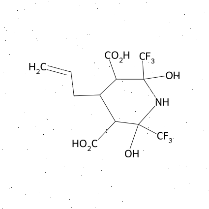 C=CCC1C(C(=O)O)C(O)(C(F)(F)F)NC(O)(C(F)(F)F)C1C(=O)O